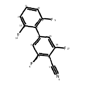 N#Cc1c(F)cc(-c2c(F)cccc2F)cc1F